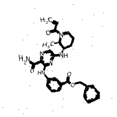 C=CC(=O)N1CCC[C@@H](Nc2cnc(C(N)=O)c(Nc3cccc(C(=O)OCc4ccccc4)c3)n2)[C@H]1C